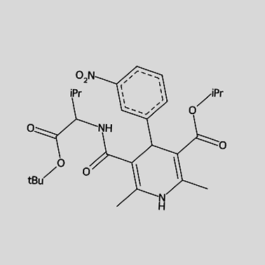 CC1=C(C(=O)NC(C(=O)OC(C)(C)C)C(C)C)C(c2cccc([N+](=O)[O-])c2)C(C(=O)OC(C)C)=C(C)N1